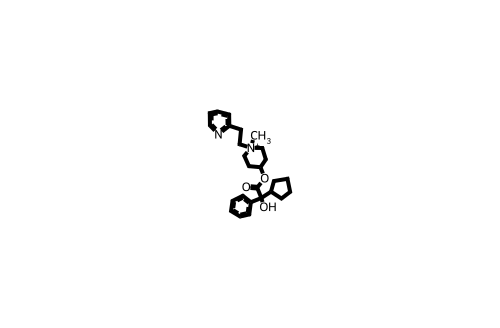 C[N+]1(CCc2ccccn2)CCC(OC(=O)C(O)(c2ccccc2)C2CCCC2)CC1